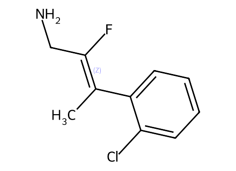 C/C(=C(/F)CN)c1ccccc1Cl